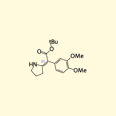 COc1ccc(/C(C(=O)OC(C)(C)C)=C2\CCCN2)cc1OC